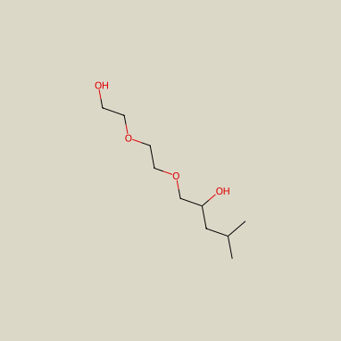 CC(C)CC(O)COCCOCCO